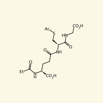 CCC(=O)N[C@@H](CCC(=O)N[C@@H](CSC(C)=O)C(=O)NCC(=O)O)C(=O)O